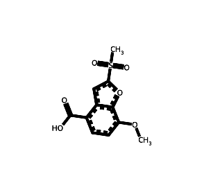 COc1ccc(C(=O)O)c2cc(S(C)(=O)=O)oc12